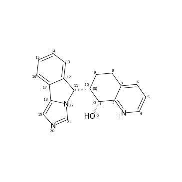 O[C@H]1c2ncccc2CC[C@H]1C1c2ccccc2-c2cncn21